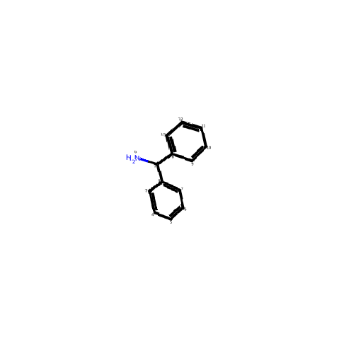 NC(c1[c]cccc1)c1[c]cccc1